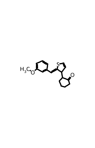 COc1cccc(C=C2SC=CC2C2CCCCC2=O)c1